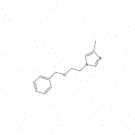 Ic1cn(CCOCc2ccccc2)cn1